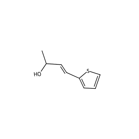 CC(O)C=Cc1cccs1